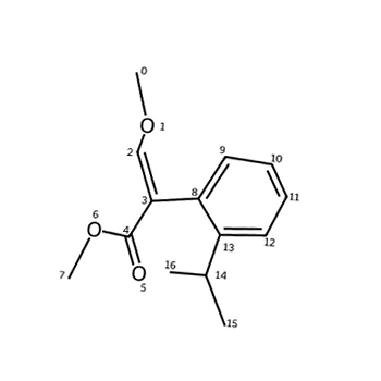 CO/C=C(/C(=O)OC)c1ccccc1C(C)C